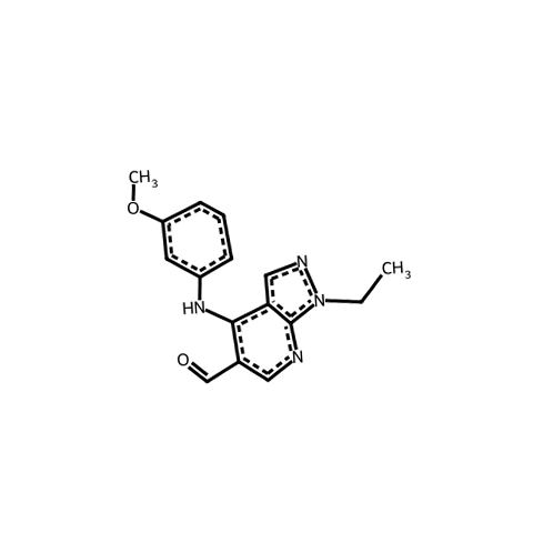 CCn1ncc2c(Nc3cccc(OC)c3)c(C=O)cnc21